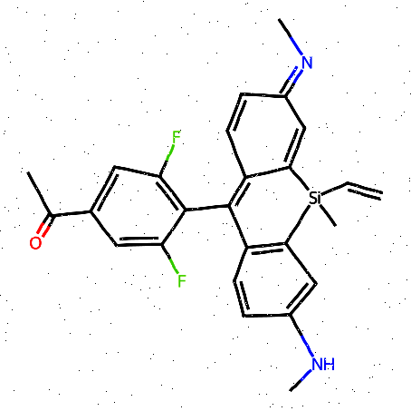 C=C[Si]1(C)C2=C/C(=N/C)C=CC2=C(c2c(F)cc(C(C)=O)cc2F)c2ccc(NC)cc21